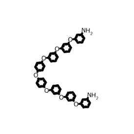 Nc1cccc(Oc2cccc(Oc3cccc(Oc4ccc(Oc5ccc(Oc6cccc(Oc7cccc(Oc8cccc(N)c8)c7)c6)cc5)cc4)c3)c2)c1